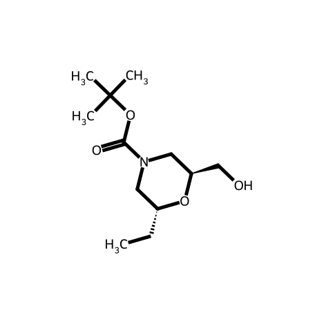 CC[C@@H]1CN(C(=O)OC(C)(C)C)C[C@@H](CO)O1